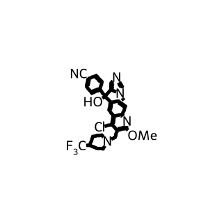 COc1nc2ccc(C(O)(c3ccc(C#N)cc3)c3cncn3C)cc2c(Cl)c1CN1CCC(C(F)(F)F)CC1